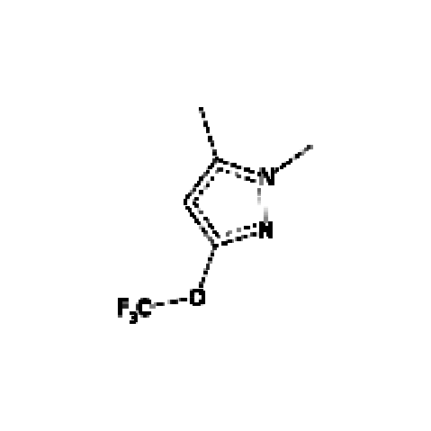 Cc1cc(OC(F)(F)F)nn1C